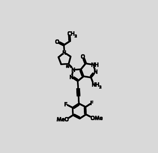 C=CC(=O)N1CC[C@H](n2nc(C#Cc3c(F)c(OC)cc(OC)c3F)c3c(N)n[nH]c(=O)c32)C1